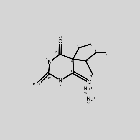 CCC(C)C1(CC)C(=O)[N-]C(=S)[N-]C1=O.[Na+].[Na+]